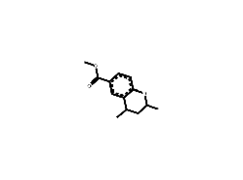 COC(=O)c1ccc2c(c1)C(C)CC(C)O2